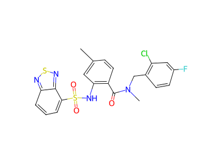 Cc1ccc(C(=O)N(C)Cc2ccc(F)cc2Cl)c(NS(=O)(=O)c2cccc3nsnc23)c1